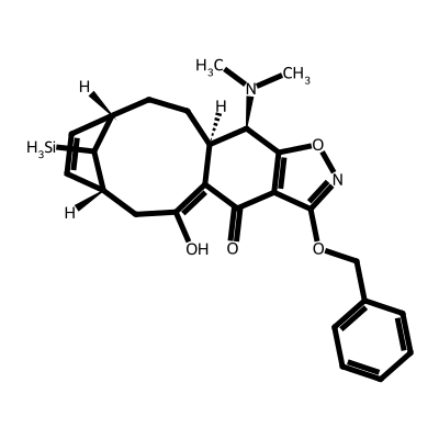 CN(C)[C@H]1c2onc(OCc3ccccc3)c2C(=O)/C2=C(\O)C[C@@H]3C=C[C@H](CC[C@H]21)C3[SiH3]